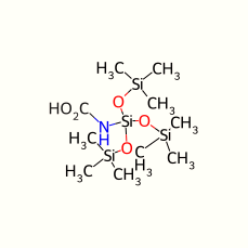 C[Si](C)(C)O[Si](NC(=O)O)(O[Si](C)(C)C)O[Si](C)(C)C